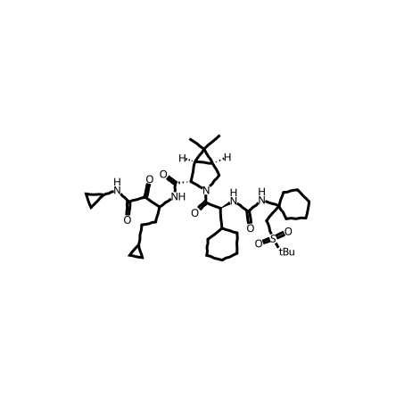 CC1(C)[C@@H]2[C@@H](C(=O)NC(CCC3CC3)C(=O)C(=O)NC3CC3)N(C(=O)[C@@H](NC(=O)NC3(CS(=O)(=O)C(C)(C)C)CCCCC3)C3CCCCC3)C[C@@H]21